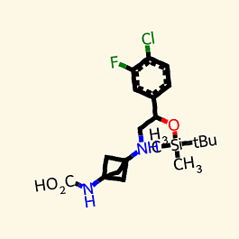 CC(C)(C)[Si](C)(C)OC(CNC12CC(NC(=O)O)(C1)C2)c1ccc(Cl)c(F)c1